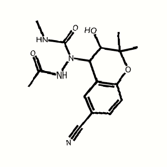 CNC(=O)N(NC(C)=O)C1c2cc(C#N)ccc2OC(C)(C)C1O